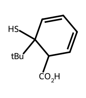 CC(C)(C)C1(S)C=CC=CC1C(=O)O